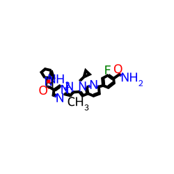 Cc1c(-c2cc3ccc(-c4ccc(C(N)=O)c(F)c4)nc3n2CC2CC2)nn2cc(C(=O)N3CC4CCC3[C@@H]4N)cnc12